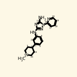 CN1CCC(c2cccc(Nc3nc(N)n(-c4ccccn4)n3)c2)CC1